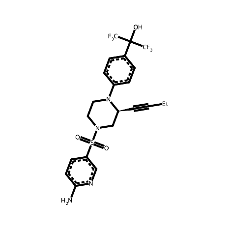 CCC#C[C@H]1CN(S(=O)(=O)c2ccc(N)nc2)CCN1c1ccc(C(O)(C(F)(F)F)C(F)(F)F)cc1